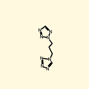 c1nnn(CCCn2cnnn2)n1